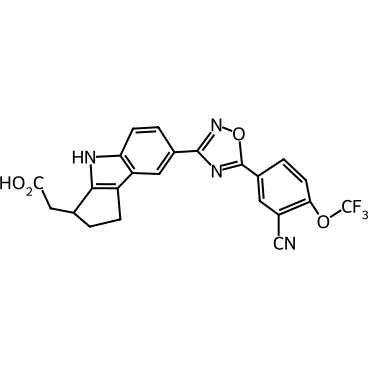 N#Cc1cc(-c2nc(-c3ccc4[nH]c5c(c4c3)CCC5CC(=O)O)no2)ccc1OC(F)(F)F